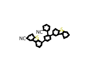 N#Cc1ccc2sc3c(-c4ccc(-c5ccc6sc7ccccc7c6c5)c(-c5ccccc5C#N)c4)cccc3c2c1